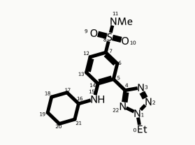 CCn1nnc(-c2cc(S(=O)(=O)NC)ccc2NC2CCCCC2)n1